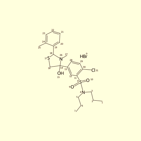 Br.CCCN(CCC)S(=O)(=O)c1cc(C2(O)CSC(c3ccccc3C)N2C)ccc1Cl